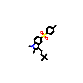 Cc1ccc(S(=O)(=O)c2ccc3c(c2)c(C[CH]C(C)(C)C)c(C)n3C)cc1